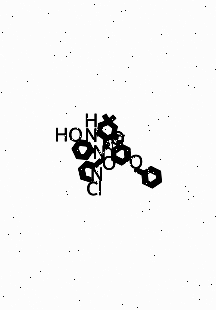 CC1(C)CC(=O)C2=C(C1)Nc1c(O)cccc1N(C(=O)c1cccc(Cl)n1)[C@H]2c1ccc(OCc2ccccc2)cc1F